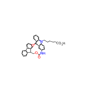 O=C(O)CCCCCn1c2ccccc2c(=O)c2cc(NC(=O)OCC3c4ccccc4-c4ccccc43)ccc21